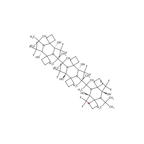 CC(C)(C)N1C2(CCC2)[C@](O)(C(F)(F)F)N(C(C)(C)C(C)(C)N2C3(CCC3)[C@](O)(C(F)(F)F)N(C(C)(C)C(C)(C)N3C4(CCC4)[C@@](O)(C(F)(F)F)N(C(C)(C)C)C4(CCC4)[C@@]3(O)C(F)(F)F)C3(CCC3)[C@@]2(O)C(F)(F)F)C2(CCC2)[C@]1(O)C(F)(F)F